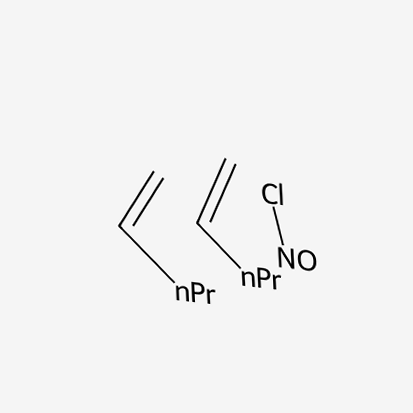 C=CCCC.C=CCCC.O=NCl